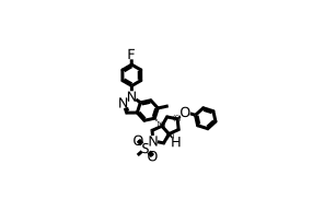 Cc1cc2c(cnn2-c2ccc(F)cc2)cc1[C@]12C[C@@H](Oc3ccccc3)C[C@H]1CN(S(C)(=O)=O)C2